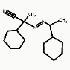 CC(N=NC(C)(C#N)C1CCCCC1)C1CCCCC1